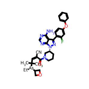 CC[As](C1COC1)C(C)(C)/C=C(/C#N)C(=O)N1CCC[C@@H](n2nc(-c3ccc(Oc4ccccc4)cc3F)c3c(N)ncnc32)C1